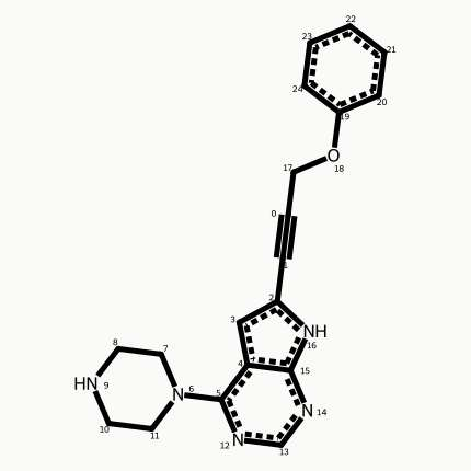 C(#Cc1cc2c(N3CCNCC3)ncnc2[nH]1)COc1ccccc1